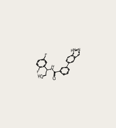 O=C(NC(CO)c1cc(F)ccc1F)c1cccc(-c2ccc3[nH]ncc3c2)c1